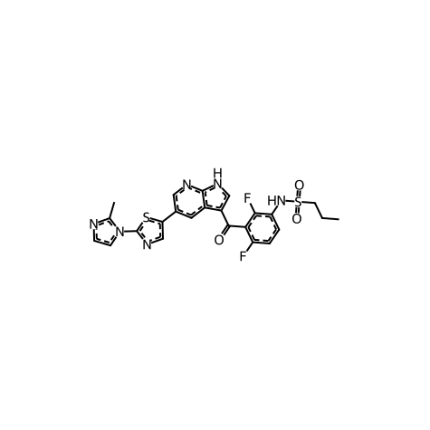 CCCS(=O)(=O)Nc1ccc(F)c(C(=O)c2c[nH]c3ncc(-c4cnc(-n5ccnc5C)s4)cc23)c1F